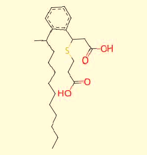 CCCCCCCCCCC(C)c1ccccc1C(CC(=O)O)SCCC(=O)O